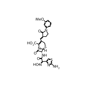 COc1cccc(N2CCC(=CC3=C(C(=O)O)N4C(=O)[C@@H](NC(=O)/C(=N\O)c5csc(N)n5)[C@H]4SC3)C2=O)c1